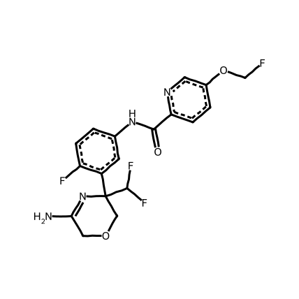 NC1=NC(c2cc(NC(=O)c3ccc(OCF)cn3)ccc2F)(C(F)F)COC1